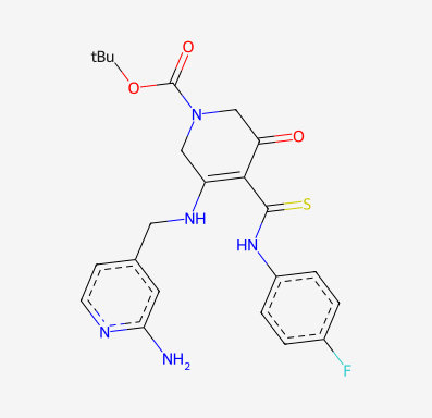 CC(C)(C)OC(=O)N1CC(=O)C(C(=S)Nc2ccc(F)cc2)=C(NCc2ccnc(N)c2)C1